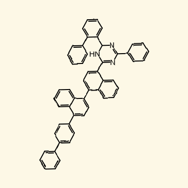 c1ccc(C2=NC(c3ccccc3-c3ccccc3)NC(c3ccc(-c4ccc(-c5ccc(-c6ccccc6)cc5)c5ccccc45)c4ccccc34)=N2)cc1